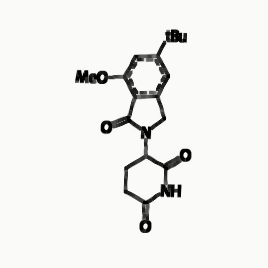 COc1cc(C(C)(C)C)cc2c1C(=O)N(C1CCC(=O)NC1=O)C2